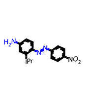 CC(C)c1cc(N)ccc1/N=N/c1ccc([N+](=O)[O-])cc1